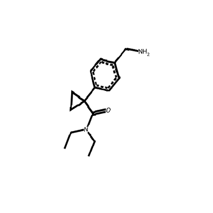 CCN(CC)C(=O)C1(c2ccc(CN)cc2)CC1